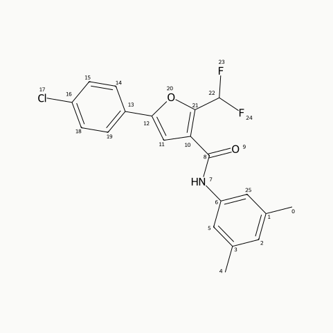 Cc1cc(C)cc(NC(=O)c2cc(-c3ccc(Cl)cc3)oc2C(F)F)c1